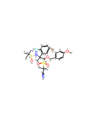 COc1ccc(COC(C(C)(N[S+]([O-])C(C)(C)C)c2cc(Br)ccc2F)S(=O)(=O)C(C)(C)C#N)cc1